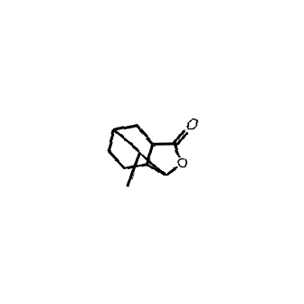 CC1C2CCC3C(C2)C(=O)OC13